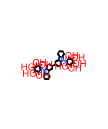 OC1=C(O)C(O)C(n2c3ccccc3c3cc(-c4ccc5c(c4)c4ccccc4n5-c4c(O)c(O)c(O)c(O)c4O)ccc32)C(O)=C1O